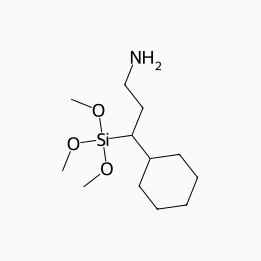 CO[Si](OC)(OC)C(CCN)C1CCCCC1